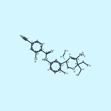 N#Cc1cnc(C(=O)Nc2ccc(F)c([C@]3(CF)COC(CF)(CF)C(N)=N3)c2)c(Cl)c1